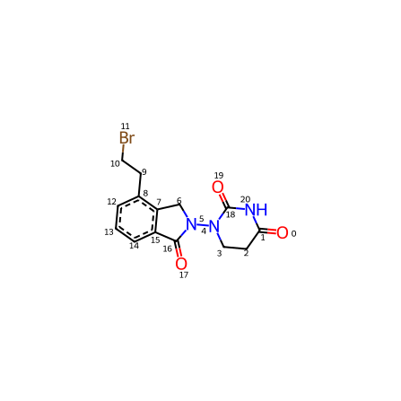 O=C1CCN(N2Cc3c(CCBr)cccc3C2=O)C(=O)N1